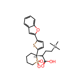 C[Si](C)(C)CCC(C(=O)O)[C@]1(c2ccc(-c3cc4ccccc4o3)s2)CCCCS1(=O)=O